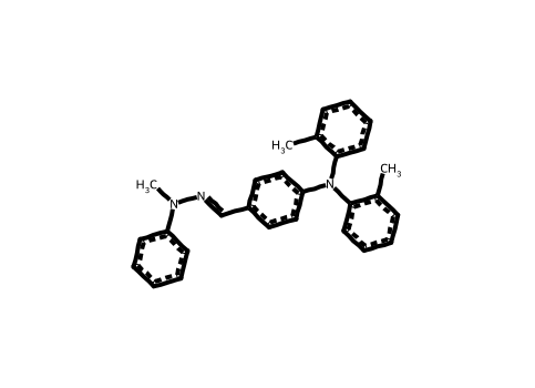 Cc1ccccc1N(c1ccc(C=NN(C)c2ccccc2)cc1)c1ccccc1C